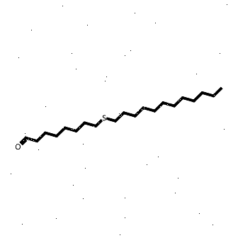 CCCCCCCCCCCCSCCCCCCC[C]=O